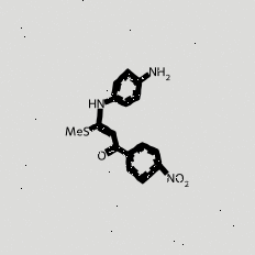 CS/C(=C\C(=O)c1ccc([N+](=O)[O-])cc1)Nc1ccc(N)cc1